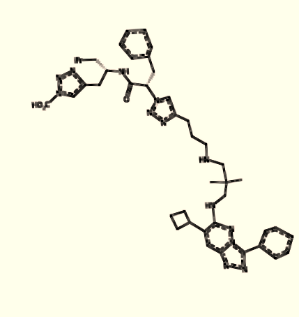 CC(C)C[C@@H](Cc1cn(C(=O)O)nn1)NC(=O)[C@H](Cc1ccccc1)n1cc(CCCNCC(C)(C)CNc2nn3c(-c4ccccc4)nnc3cc2C2CCC2)nn1